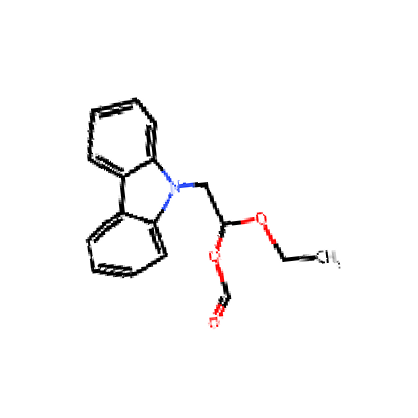 CCOC(Cn1c2ccccc2c2ccccc21)OC=O